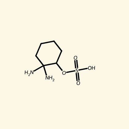 NC1(N)CCCCC1OS(=O)(=O)O